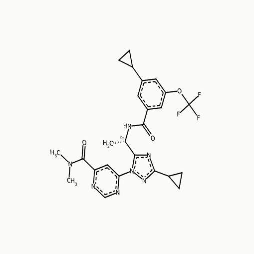 C[C@H](NC(=O)c1cc(OC(F)(F)F)cc(C2CC2)c1)c1nc(C2CC2)nn1-c1cc(C(=O)N(C)C)ncn1